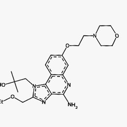 CCOCc1nc2c(N)nc3cc(OCCN4CCOCC4)ccc3c2n1CC(C)(C)O